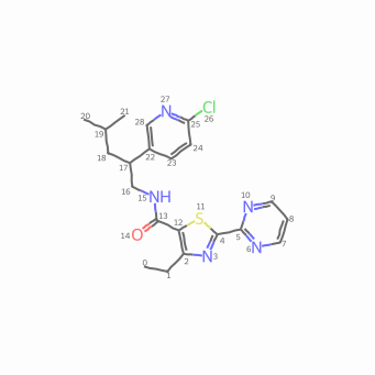 CCc1nc(-c2ncccn2)sc1C(=O)NCC(CC(C)C)c1ccc(Cl)nc1